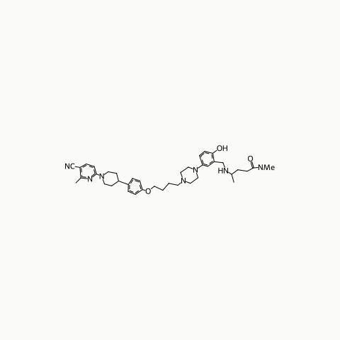 CNC(=O)CCC(C)NCc1cc(N2CCN(CCCCOc3ccc(C4CCN(c5ccc(C#N)c(C)n5)CC4)cc3)CC2)ccc1O